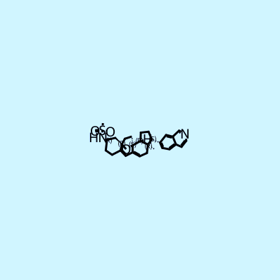 C[C@]12CC=C3C=C4CC[C@@H](NS(C)(=O)=O)C[C@]45CC[C@]3(O5)[C@@H]1CC[C@@H]2c1ccc2ccncc2c1